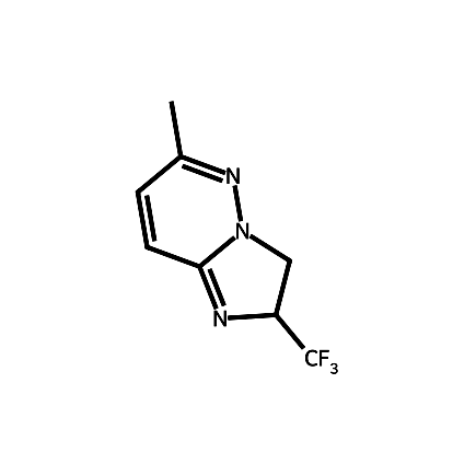 CC1=NN2CC(C(F)(F)F)N=C2C=C1